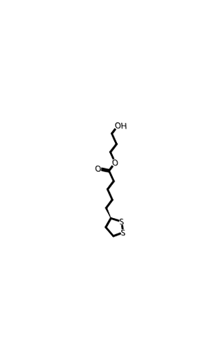 O=C(CCCC[C@@H]1CCSS1)OCCCO